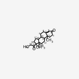 CC12CCC(=O)C=C1CCC1C2CCC2(C)C1CC[C@]2(O)C(=O)CO